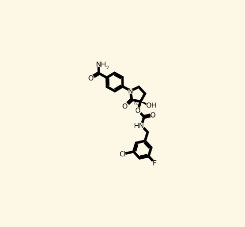 NC(=O)c1ccc(N2CC[C@](O)(OC(=O)NCc3cc(F)cc(Cl)c3)C2=O)cc1